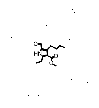 CCCCc1c(C=O)[nH]c(CC)c1C(=O)OC